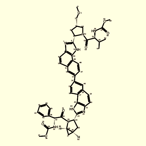 COC[C@H]1C[C@@H](c2nc3ccc4cc(-c5ccc6c(ccc7nc([C@@H]8C[C@H]9C[C@H]9N8C(=O)[C@H](NC(=O)OC)c8ccccc8)[nH]c76)c5)ccc4c3[nH]2)N(C(=O)[C@@H](NC(=O)OC)C(C)C)C1